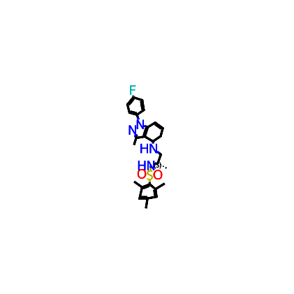 Cc1cc(C)c(S(=O)(=O)N[C@@H](C)CNC2CC=Cc3c2c(C)nn3-c2ccc(F)cc2)c(C)c1